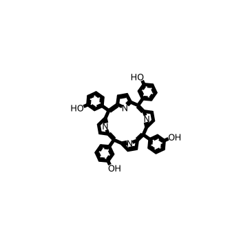 Oc1cccc(C2=C3C=CC(=N3)C(c3cccc(O)c3)=C3CCC(=N3)C(c3cccc(O)c3)=C3C=CC(=N3)C(c3cccc(O)c3)=C3CCC2=N3)c1